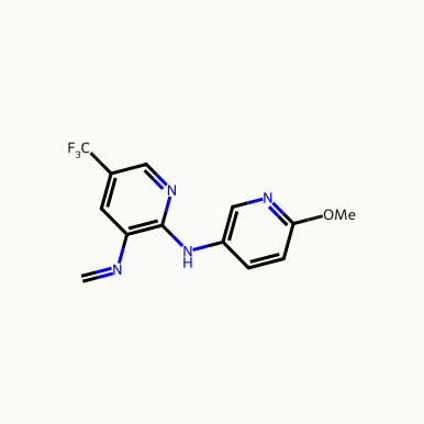 C=Nc1cc(C(F)(F)F)cnc1Nc1ccc(OC)nc1